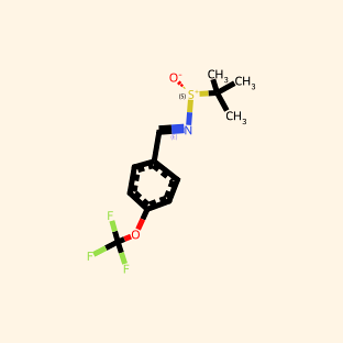 CC(C)(C)[S@@+]([O-])/N=C/c1ccc(OC(F)(F)F)cc1